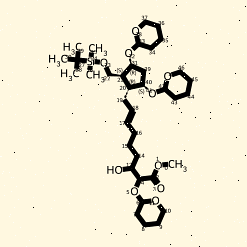 COC(=O)C(OC1CCCCO1)C(O)CCCC=CC[C@@H]1[C@@H](CO[Si](C)(C)C(C)(C)C)[C@H](OC2CCCCO2)C[C@@H]1OC1CCCCO1